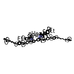 C=CC(=O)OCCCCCCOc1ccc(OC(=O)C2CCC(C(=O)Oc3ccc(-c4ccc(OC(=O)C5CCC(C(=O)Oc6ccc(OCCCCCCOC(=O)C=C)cc6)CC5)c(/C=N/N(CCCCCC)c5nc6ccc(OCC)cc6s5)c4)cc3/C=N/N(CCCCCC)c3nc4ccc(OCC)cc4s3)CC2)cc1